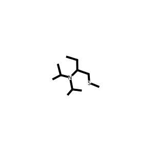 CCC(CSC)N(C(C)C)C(C)C